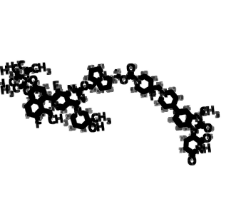 CCc1c(F)ccc2cc(O[Si](C(C)C)(C(C)C)C(C)C)cc(-c3ncc4c(N5CCC[C@@](C)(O)C5)nc(OC[C@@]56CCCN5[C@H](COC(=O)N5CCC(F)(CN7CCC(c8ccc9c(c8)n(C)c(=O)n9C8CCC(=O)NC8=O)CC7)CC5)CC6)nc4c3F)c12